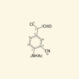 CC(=O)Nc1ccc(C(Cl)C=O)cc1C#N